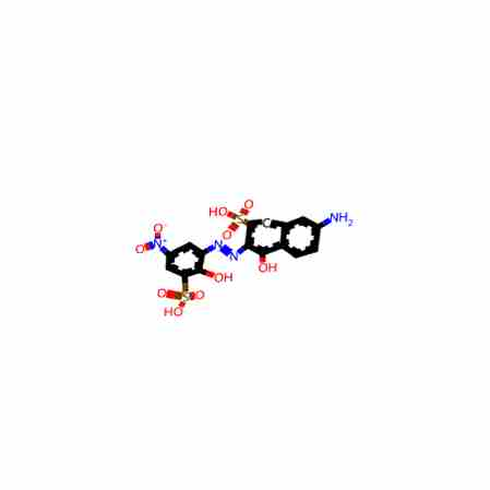 Nc1ccc2c(O)c(N=Nc3cc([N+](=O)[O-])cc(S(=O)(=O)O)c3O)c(S(=O)(=O)O)cc2c1